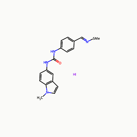 CSN=Cc1ccc(NC(=O)Nc2ccc3c(ccn3C)c2)cc1.I